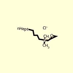 CCCCCCCCCCC[N+](C)(C)CC1CO1.[Cl-]